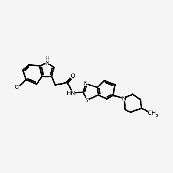 CC1CCN(c2ccc3nc(NC(=O)Cc4c[nH]c5ccc(Cl)cc45)sc3c2)CC1